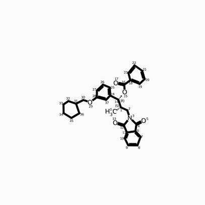 C[C@@H](CN1C(=O)c2ccccc2C1=O)[C@@H](OC(=O)c1ccccc1)c1cccc(OCC2CCCCC2)c1